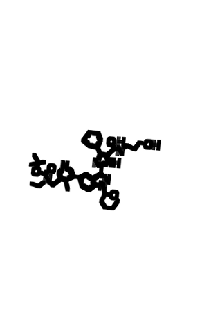 CCN(Cc1cncc(-c2ccc3c(c2)c(-c2nc(-c4ccccc4)c(C(=O)NCCCO)[nH]2)nn3C2CCCCO2)c1C)C(=O)OC(C)(C)C